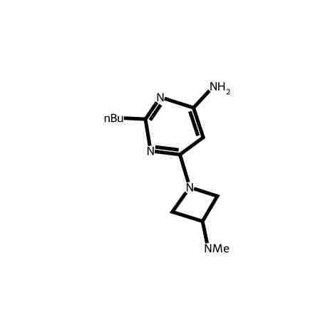 CCCCc1nc(N)cc(N2CC(NC)C2)n1